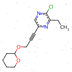 CCc1nc(C#CCOC2CCCCO2)cnc1Cl